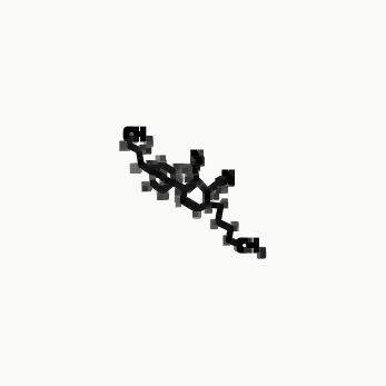 CCCCCc1ccc(C23CCC(CCCC)(CC2)CC3)c(C#N)c1C#N